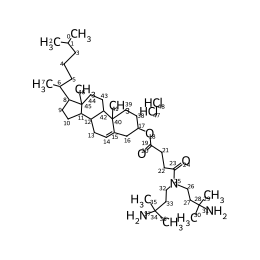 CC(C)CCCC(C)C1CCC2C3CC=C4CC(OC(=O)CCC(=O)N(CCC(C)(C)N)CCC(C)(C)N)CCC4(C)C3CCC12C.Cl.Cl